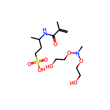 C=C(C)C(=O)NC(C)CCS(=O)(=O)O.CN(OCCO)OCCO